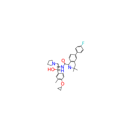 Cc1cc([C@@H](O)[C@@H](CN2CCCC2)NC(=O)C2=NC(C)(C)Cc3cc(-c4ccc(F)cc4)ccc32)ccc1OC1CC1